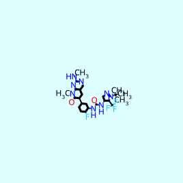 CNc1ncc2cc(-c3ccc(F)c(NC(=O)Nc4cnn(C(C)(C)C)c4C(F)(F)F)c3)c(=O)n(C)c2n1